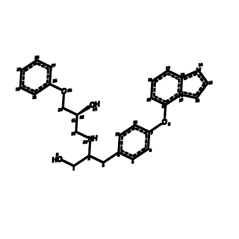 OCC(Cc1ccc(Oc2cccc3nccn23)cc1)NC[C@H](O)COc1ccccc1